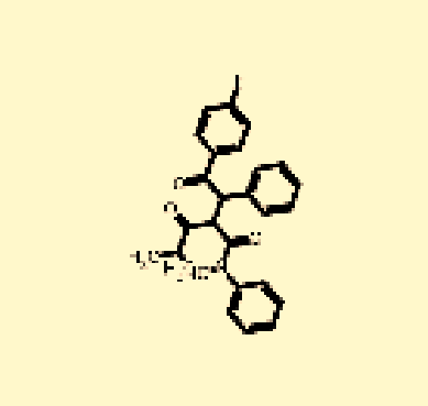 CC(C)C(=O)C(C(=O)N(O)c1ccccc1)C(C(=O)c1ccc(F)cc1)c1ccccc1